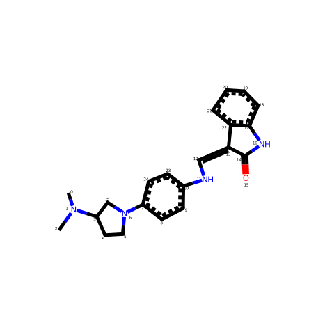 CN(C)C1CCN(c2ccc(N/C=C3\C(=O)Nc4ccccc43)cc2)C1